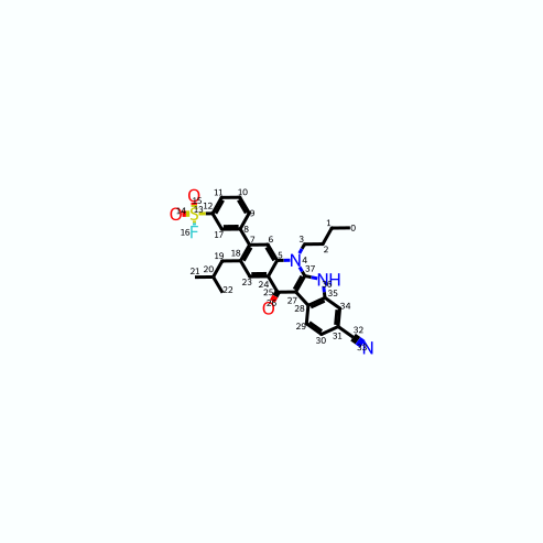 CCCCn1c2cc(-c3cccc(S(=O)(=O)F)c3)c(CC(C)C)cc2c(=O)c2c3ccc(C#N)cc3[nH]c21